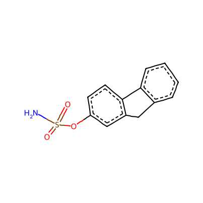 NS(=O)(=O)Oc1ccc2c(c1)Cc1ccccc1-2